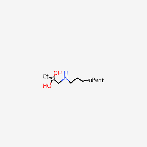 CCCCCCCCNC[Si](O)(O)CC